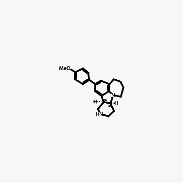 COc1c[c]c(-c2cc3c4c(c2)[C@@H]2CNCC[C@@H]2N4CCCC3)cc1